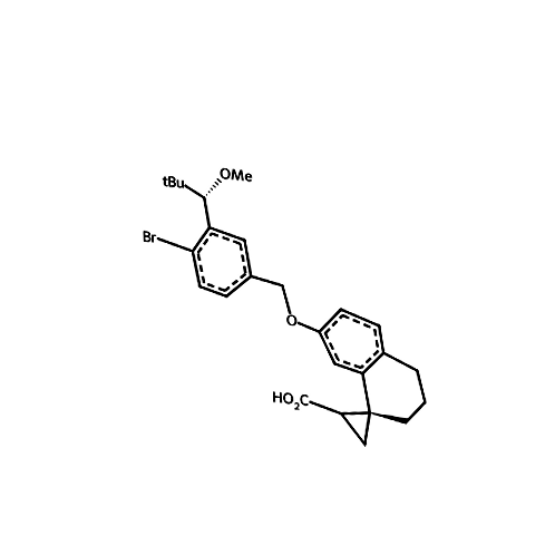 CO[C@H](c1cc(COc2ccc3c(c2)[C@]2(CCC3)CC2C(=O)O)ccc1Br)C(C)(C)C